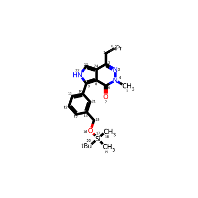 CC(C)Cc1nn(C)c(=O)c2c(-c3cccc(CO[Si](C)(C)C(C)(C)C)c3)[nH]cc12